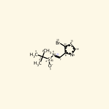 CC(C)(C)[S@+]([O-])/N=C/c1ncsc1Br